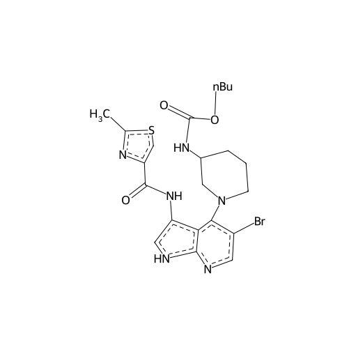 CCCCOC(=O)NC1CCCN(c2c(Br)cnc3[nH]cc(NC(=O)c4csc(C)n4)c23)C1